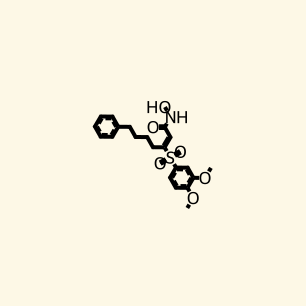 COc1ccc(S(=O)(=O)C(=CC(=O)NO)CCCCc2ccccc2)cc1OC